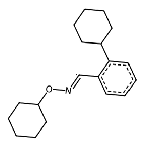 [C](=N\OC1CCCCC1)/c1ccccc1C1CCCCC1